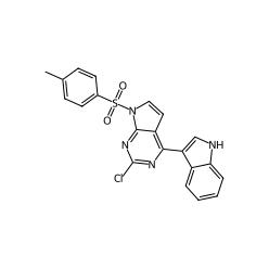 Cc1ccc(S(=O)(=O)n2ccc3c(-c4c[nH]c5ccccc45)nc(Cl)nc32)cc1